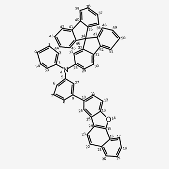 c1ccc(N(c2cccc(-c3ccc4oc5c6ccccc6ccc5c4c3)c2)c2ccc3c(c2)C2(c4ccccc4-c4ccccc42)c2ccccc2-3)cc1